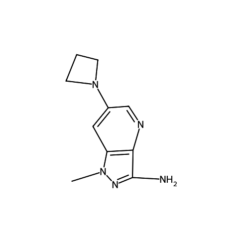 Cn1nc(N)c2ncc(N3CCC3)cc21